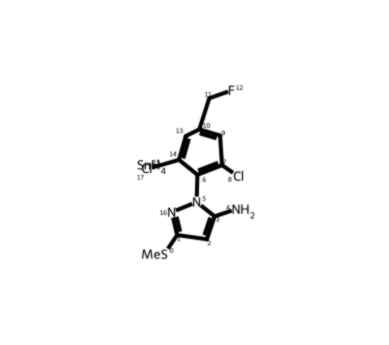 CSc1cc(N)n(-c2c(Cl)cc(CF)cc2Cl)n1.[SnH4]